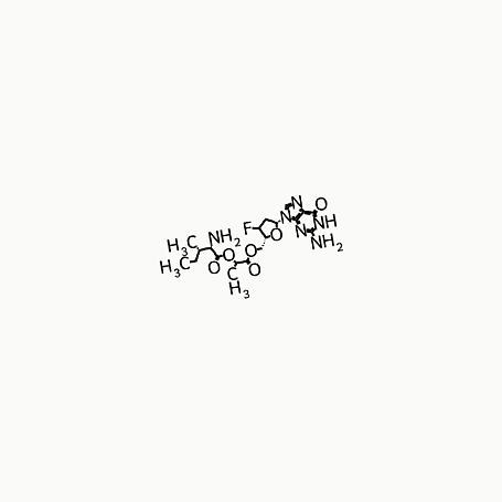 CC[C@H](C)[C@H](N)C(=O)OC(C)C(=O)OC[C@H]1O[C@@H](n2cnc3c(=O)[nH]c(N)nc32)CC1F